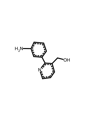 Nc1cccc(-c2ncccc2CO)c1